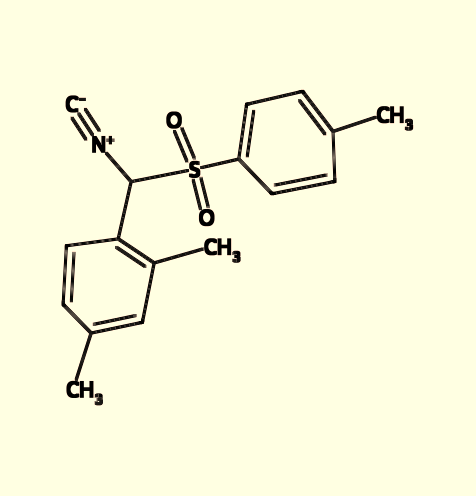 [C-]#[N+]C(c1ccc(C)cc1C)S(=O)(=O)c1ccc(C)cc1